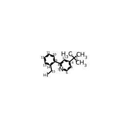 CC(C)(C)c1ccnc(-c2ccccc2CI)c1